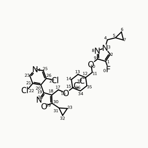 Fc1cn(CC2CC2)nc1OCC12CCC(OCc3c(-c4c(Cl)cncc4Cl)noc3C3CC3)(CC1)CC2